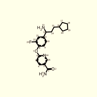 NC(=O)c1ccc(Oc2ccc(C(N)CCC3CCCC3)cc2F)nc1